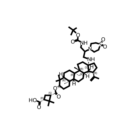 C=C(C)[C@@H]1CC[C@]2(NCC(CNC(=O)OC(C)(C)C)N3CCS(=O)(=O)CC3)CC[C@]3(C)[C@H](CC[C@@H]4[C@@]5(C)CC[C@H](OC(=O)[C@H]6C[C@@H](C(=O)O)C6(C)C)C(C)(C)[C@@H]5CC[C@]43C)[C@@H]12